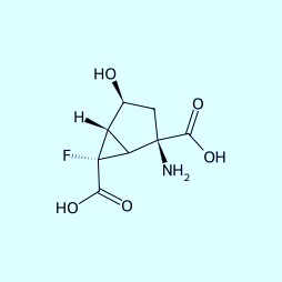 N[C@]1(C(=O)O)C[C@H](O)[C@@H]2C1[C@@]2(F)C(=O)O